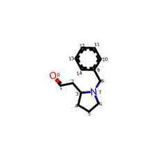 O=CCC1CCCN1Cc1ccccc1